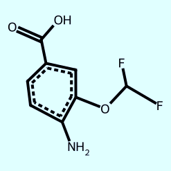 Nc1ccc(C(=O)O)cc1OC(F)F